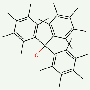 Cc1c(C)c(C)c(C([O])(c2c(C)c(C)c(C)c(C)c2C)c2c(C)c(C)c(C)c(C)c2C)c(C)c1C